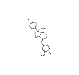 COc1cc(/C=C2\CCCN3C2=NOC3(CO)c2ccc(F)cc2)ccc1F